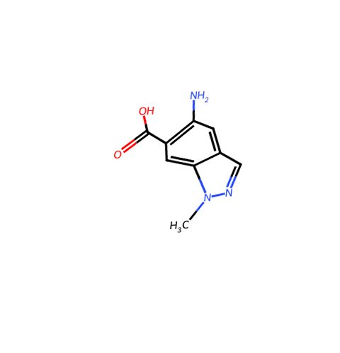 Cn1ncc2cc(N)c(C(=O)O)cc21